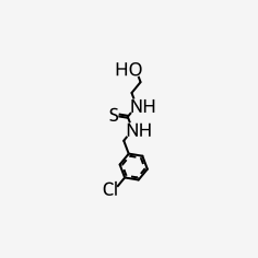 OCCNC(=S)NCc1cccc(Cl)c1